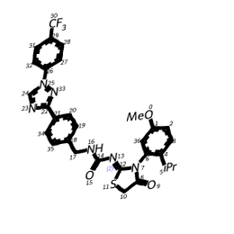 COc1ccc(C(C)C)c(N2C(=O)CS/C2=N\C(=O)NCc2ccc(-c3ncn(-c4ccc(C(F)(F)F)cc4)n3)cc2)c1